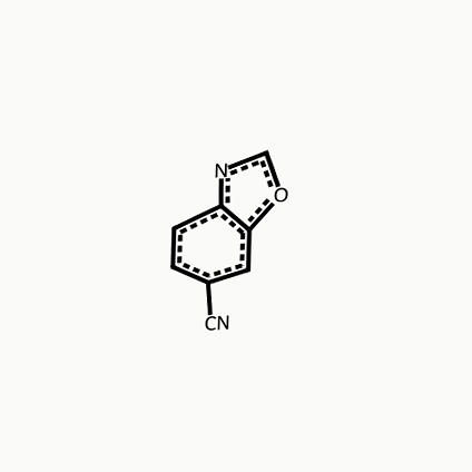 N#Cc1ccc2ncoc2c1